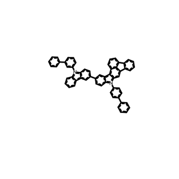 c1ccc(-c2ccc(-n3c4ccc(-c5ccc6c(c5)c5ccccc5n6-c5cccc(-c6ccccc6)c5)cc4c4c5cccc6c5c(cc43)-c3ccccc3-6)cc2)cc1